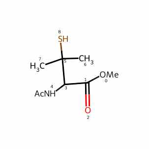 COC(=O)C(NC(C)=O)C(C)(C)S